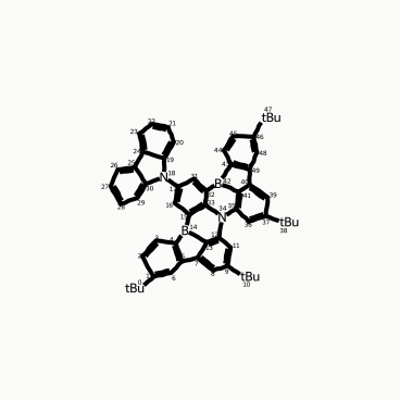 CC(C)(C)c1ccc2c(c1)-c1cc(C(C)(C)C)cc3c1B2c1cc(-n2c4ccccc4c4ccccc42)cc2c1N3c1cc(C(C)(C)C)cc3c1B2c1ccc(C(C)(C)C)cc1-3